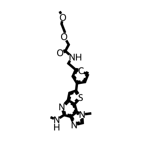 CNc1nc2cc(-c3cccc(CNC(=O)COCCOC)c3)sc2c2c1ncn2C